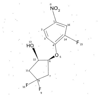 O=[N+]([O-])c1ccc(O[C@H]2CC(F)(F)C[C@H]2O)c(F)c1